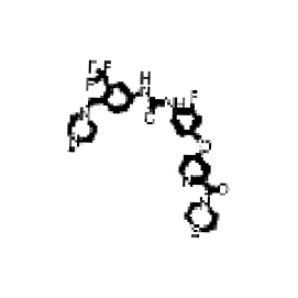 CN1CCN(Cc2ccc(NC(=O)Nc3ccc(Oc4ccnc(C(=O)N5CCSCC5)c4)cc3F)cc2C(F)(F)F)CC1